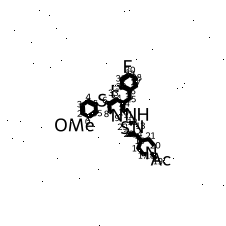 COc1cccc(Sc2cnc(Nc3nc(C4CCN(C(C)=O)CC4)cs3)c(Cc3ccc(F)cc3F)c2)c1